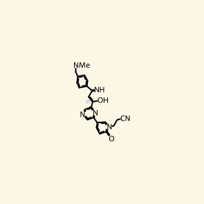 CNCc1ccc(C(=N)/C=C(\O)c2cncc(-c3ccc(=O)n(CCC#N)c3)n2)cc1